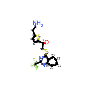 NCCc1ccc(C(=O)CSc2nc(C(F)(F)F)nc3ccccc23)s1